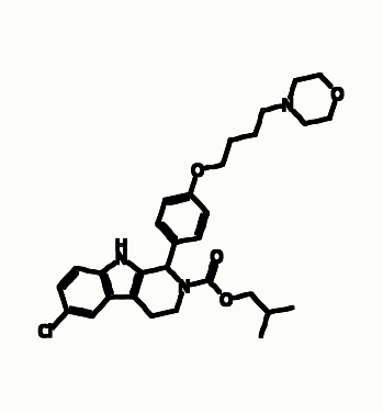 CC(C)COC(=O)N1CCc2c([nH]c3ccc(Cl)cc23)C1c1ccc(OCCCCN2CCOCC2)cc1